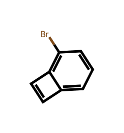 Brc1cccc2c1C=C2